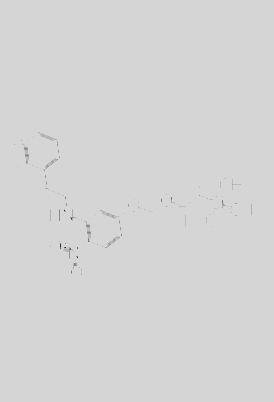 C[Si](C)(C)CCOCOc1ccc([N+](=O)[O-])c(NCCc2ccccc2)c1